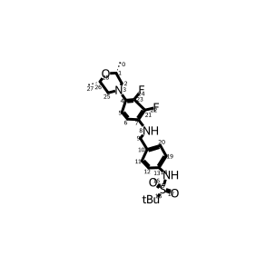 C[C@@H]1CN(c2ccc(NCc3ccc(NS(=O)(=O)C(C)(C)C)cc3)c(F)c2F)C[C@H](C)O1